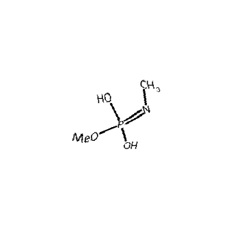 CN=P(O)(O)OC